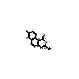 Cc1ccc2c(ccc3nc(C(C)C)[nH]c(=O)c32)c1